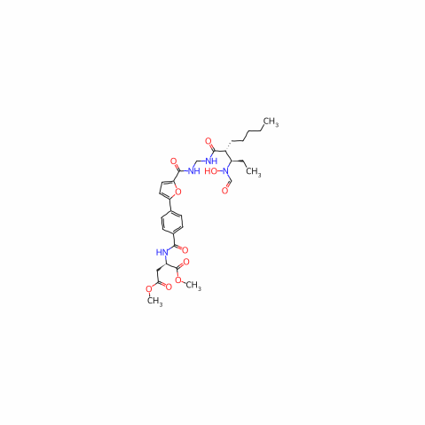 CCCCC[C@@H](C(=O)NCNC(=O)c1ccc(-c2ccc(C(=O)N[C@H](CC(=O)OC)C(=O)OC)cc2)o1)[C@@H](CC)N(O)C=O